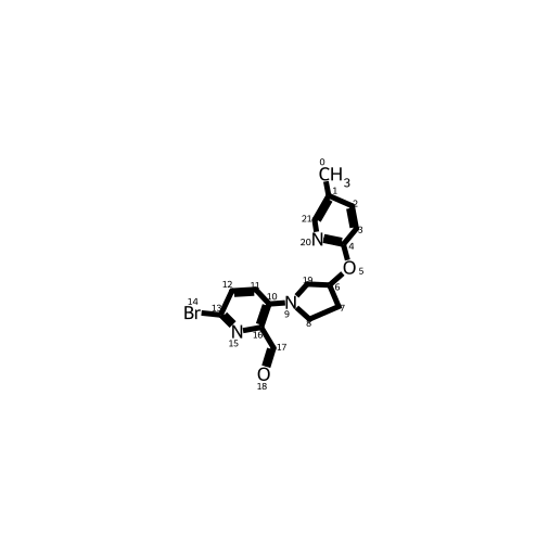 Cc1ccc(OC2CCN(c3ccc(Br)nc3C=O)C2)nc1